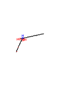 CCCCCCCCC=CCCCCCCCCCCCCCC(=O)NC(CO)C(O)C=CCCCCCCCCCCCCC